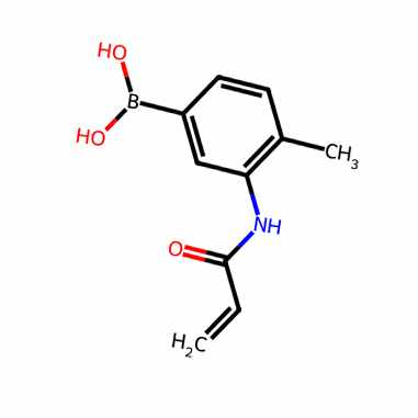 C=CC(=O)Nc1cc(B(O)O)ccc1C